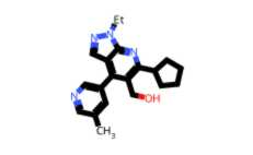 CCn1ncc2c(-c3cncc(C)c3)c(CO)c(C3CCCC3)nc21